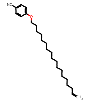 C=CCCCCCCCCCCCCCCCCOc1ccc(C#N)cc1